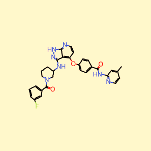 Cc1ccnc(NC(=O)c2ccc(Oc3ccnc4[nH]nc(NC5CCCN(C(=O)c6cccc(F)c6)C5)c34)cc2)c1